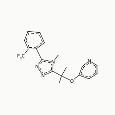 Cn1c(-c2ccccc2C(F)(F)F)nnc1C(C)(C)Oc1cccnc1